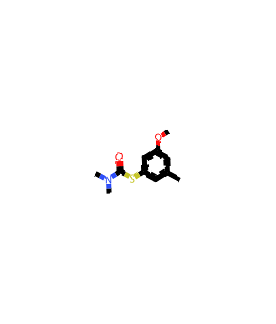 COc1cc(C)cc(SC(=O)N(C)C)c1